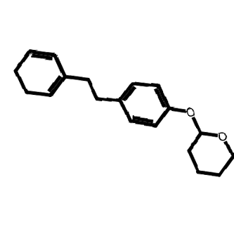 C1=CC(CCc2ccc(OC3CCCCO3)cc2)=CCC1